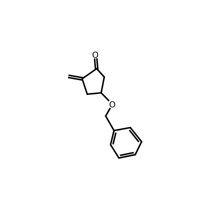 C=C1CC(OCc2ccccc2)CC1=O